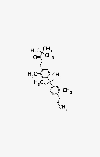 C=CCc1ccc(C(CC)(CC)c2ccc(CCC(=O)C(C)(C)C)c(C)c2)cc1C